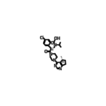 CC(C)N(C[C@H](C(=O)N1CCN(c2ncnc3c2[C@H](C)CC3)CC1)c1ccc(Cl)cc1)C(=O)O